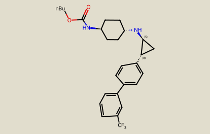 CCCCOC(=O)N[C@H]1CC[C@H](N[C@H]2C[C@@H]2c2ccc(-c3cccc(C(F)(F)F)c3)cc2)CC1